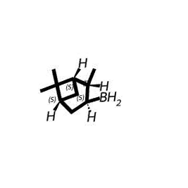 B[C@H]1C[C@H]2C[C@@H]([C@@H]1C)C2(C)C